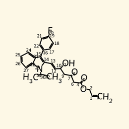 C=CCOC(=O)CC(=O)CC(O)/C=C/c1c(-c2ccc(F)cc2)c2ccccc2n1C(C)C